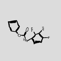 O=C(Nc1ccc(F)[c]([Ti])c1F)Oc1ccccc1